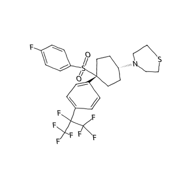 O=S(=O)(c1ccc(F)cc1)[C@]1(c2ccc(C(F)(C(F)(F)F)C(F)(F)F)cc2)CC[C@H](N2CCSCC2)CC1